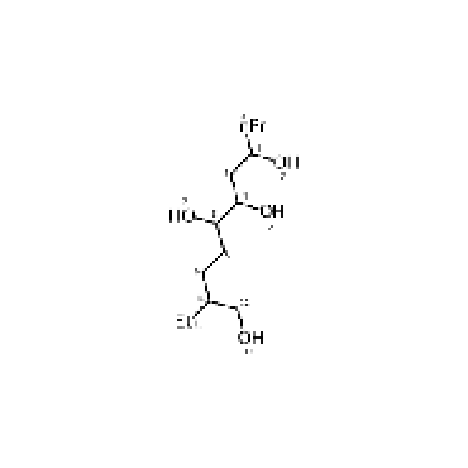 CCCC(O)CC(O)C(O)CCC(CC)CO